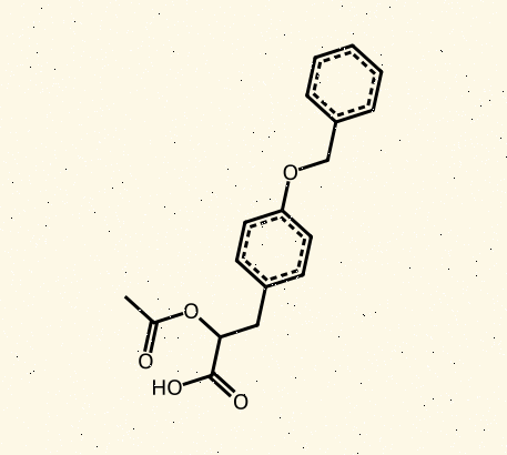 CC(=O)OC(Cc1ccc(OCc2ccccc2)cc1)C(=O)O